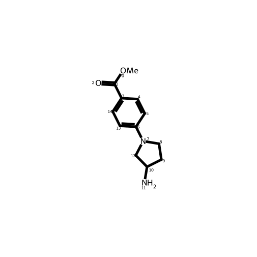 COC(=O)c1ccc(N2CCC(N)C2)cc1